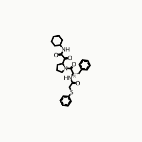 O=C(CSc1ccccc1)N[C@@H](Cc1ccccc1)C(=O)N1CCCC1C(=O)C(=O)NC1CCCCC1